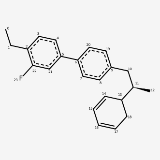 CCc1ccc(-c2ccc(C[C@@H](C)C3C=CC=CC3)cc2)cc1F